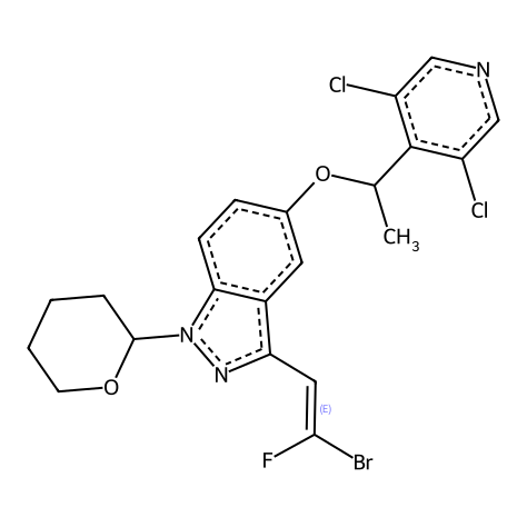 CC(Oc1ccc2c(c1)c(/C=C(\F)Br)nn2C1CCCCO1)c1c(Cl)cncc1Cl